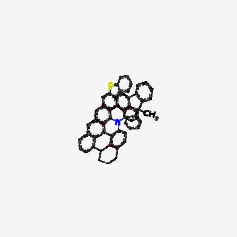 CC1(c2ccccc2)c2ccccc2-c2ccc(-c3ccccc3N(c3ccccc3-c3cccc4cccc(C5CCCCC5)c34)c3ccccc3-c3cccc4sc5ccccc5c34)cc21